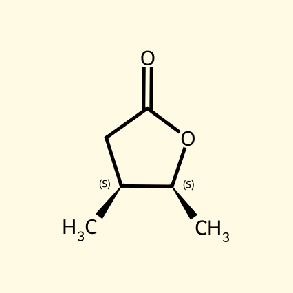 C[C@@H]1OC(=O)C[C@@H]1C